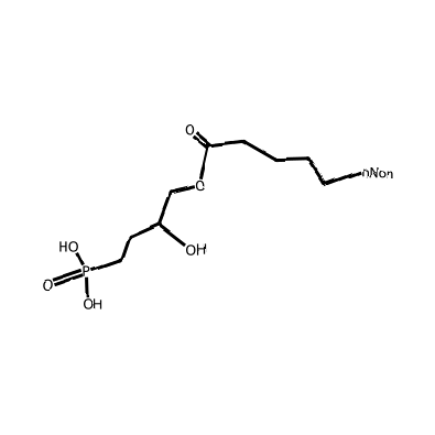 CCCCCCCCCCCCCC(=O)OCC(O)CCP(=O)(O)O